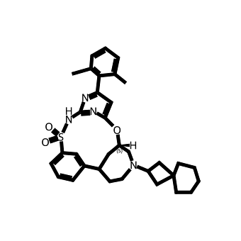 Cc1cccc(C)c1-c1cc2nc(n1)NS(=O)(=O)c1cccc(c1)C1CCN(C3CC4(CCCCC4)C3)C[C@H](C1)O2